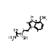 Cc1cccc2c(CCN(S)C(N)=O)c[nH]c12